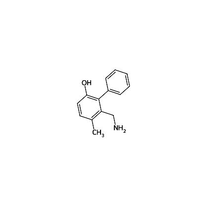 Cc1ccc(O)c(-c2ccccc2)c1CN